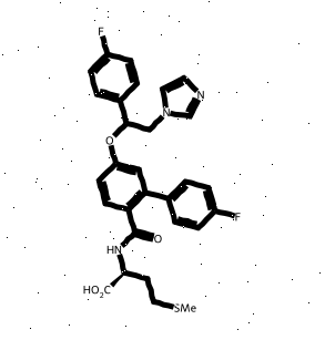 CSCC[C@H](NC(=O)c1ccc(OC(Cn2ccnc2)c2ccc(F)cc2)cc1-c1ccc(F)cc1)C(=O)O